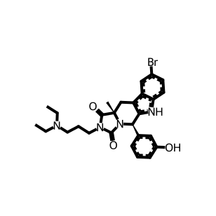 CCN(CC)CCCN1C(=O)N2[C@H](c3cccc(O)c3)c3[nH]c4ccc(Br)cc4c3C[C@@]2(C)C1=O